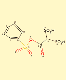 O=C(OS(=O)(=O)c1ccccc1)C(S(=O)(=O)O)S(=O)(=O)O